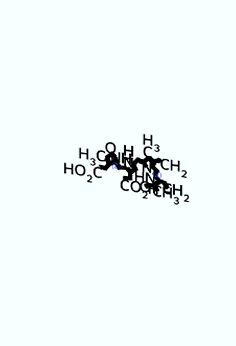 C=CC1=C(C)C(=Cc2cc(CCC(=O)O)c(/C=C3\NC(=O)C(C)=C3CCC(=O)O)[nH]2)N=C1/C=C1\NC(=O)C(C)=C1C=C